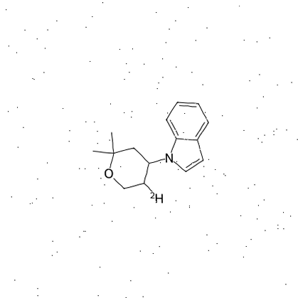 [2H]C1COC(C)(C)CC1n1ccc2ccccc21